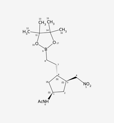 CC(=O)N[C@@H]1C[C@H](C[N+](=O)[O-])[C@@H](CCB2OC(C)(C)C(C)(C)O2)C1